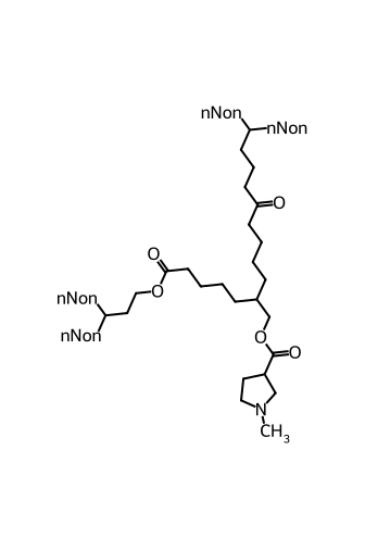 CCCCCCCCCC(CCCCCCCCC)CCCC(=O)CCCCC(CCCCC(=O)OCCC(CCCCCCCCC)CCCCCCCCC)COC(=O)C1CCN(C)C1